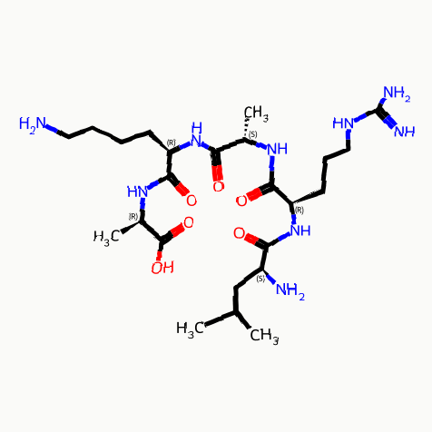 CC(C)C[C@H](N)C(=O)N[C@H](CCCNC(=N)N)C(=O)N[C@@H](C)C(=O)N[C@H](CCCCN)C(=O)N[C@H](C)C(=O)O